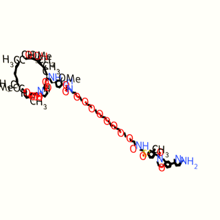 CO[C@H]1C[C@@H]2CC[C@@H](C)[C@@](O)(O2)C(=O)C(=O)N2CCCC[C@H]2C(=O)O[C@H]([C@H](N)C[C@@H]2CC[C@@H](OC(=O)NCCOCCOCCOCCOCCOCCOCCOCCOCCC(=O)NCC[S+]([O-])c3ccc(C(=O)N4CCOc5ccc(-c6ccc(N)nc6)cc5C4)c(C)c3)[C@H](OC)C2)CC[C@H](C)/C=C(\C)[C@@H](O)[C@@H](OC)C(=O)[C@H](C)C[C@H](C)/C=C/C=C/C=C/1C